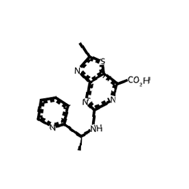 Cc1nc2nc(N[C@@H](C)c3ccccn3)nc(C(=O)O)c2s1